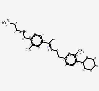 C/C(=N\CCc1ccc(C2CCCCC2)c(C(F)(F)F)c1)c1ccc(CNCCC(=O)O)c(Cl)c1